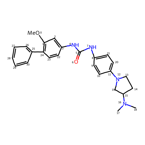 COc1cc(NC(=O)Nc2ccc(N3CCC(N(C)C)C3)cc2)ccc1-c1ccccc1